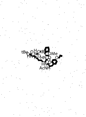 C=CCOc1ccc(C[C@H](NC(C)=O)C(=O)N[C@@H](CCCCN=C(NC(=O)OC(C)(C)C)NC(=O)OC(C)(C)C)C(=O)N[C@@H](Cc2ccccc2)C(=O)OC)cc1